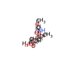 CCOc1ccc(NC(=O)OCc2cc(CC(OC(C)C)C(=O)O)ccc2OCC)cc1